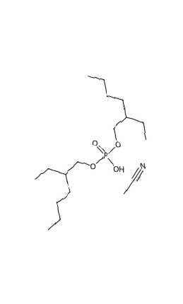 CC#N.CCCCC(CC)COP(=O)(O)OCC(CC)CCCC